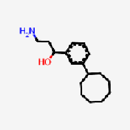 NCCC(O)c1cccc(C2CCCCCCC2)c1